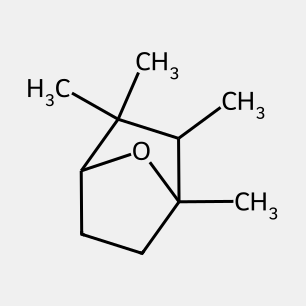 CC1C2(C)CCC(O2)C1(C)C